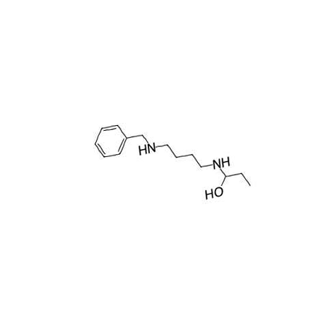 CCC(O)NCCCCNCc1ccccc1